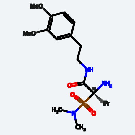 COc1ccc(CCNC(=O)[C@](N)(C(C)C)S(=O)(=O)N(C)C)cc1OC